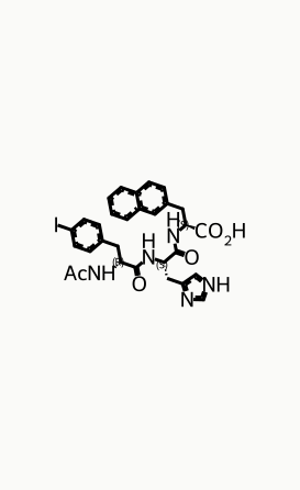 CC(=O)N[C@H](Cc1ccc(I)cc1)C(=O)N[C@@H](Cc1c[nH]cn1)C(=O)N[C@@H](Cc1ccc2ccccc2c1)C(=O)O